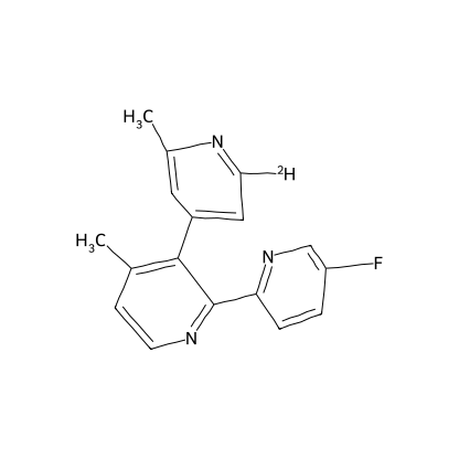 [2H]c1cc(-c2c(C)ccnc2-c2ccc(F)cn2)cc(C)n1